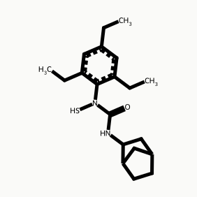 CCc1cc(CC)c(N(S)C(=O)NC2CC3CCC2C3)c(CC)c1